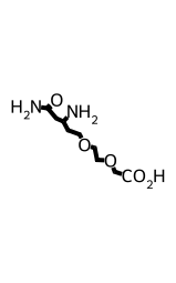 NC(=O)CC(N)CCOCCOCC(=O)O